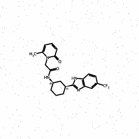 Cc1cccc(=O)n1CC(=O)N[C@@H]1CCC[C@H](c2nc3cc(C(F)(F)F)ccc3[nH]2)C1